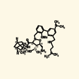 COc1c(CN2O[C@@H](CN)[C@H]([C@H](C)O)[C@H]2C(=O)NC2C[C@H]3C[C@@H]([C@@H]2C)C3(C)C)cccc1-c1cc(CNCCN(C)C)cc(N(C)C)c1